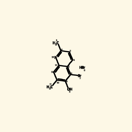 Br.Cc1ccc2c(Br)c(O)c(C)cc2n1